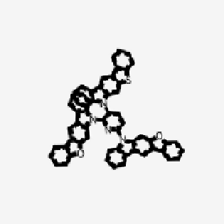 c1ccc2c(c1)oc1cc3c(cc12)c1ccccc1n3-c1ccc(-n2c3ccccc3c3cc4c(cc32)sc2ccccc24)c(-n2c3ccccc3c3cc4c(cc32)oc2ccccc24)n1